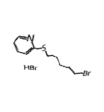 Br.BrCCCCCSc1ccccn1